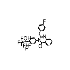 O=c1c2ccccc2nc(Cc2ccc(F)cc2)n1-c1ccc(C(O)(C(F)(F)F)C(F)(F)F)cc1